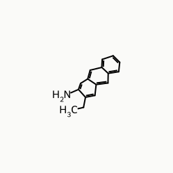 CCc1cc2cc3ccccc3cc2cc1N